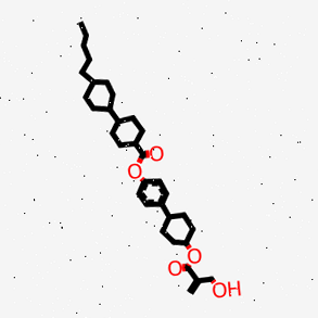 C=C(CO)C(=O)OC1CCC(c2ccc(OC(=O)C3CCC(C4CCC(CCCCC)CC4)CC3)cc2)CC1